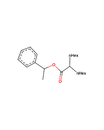 CCCCCCC(CCCCCC)C(=O)OC(C)c1ccccc1